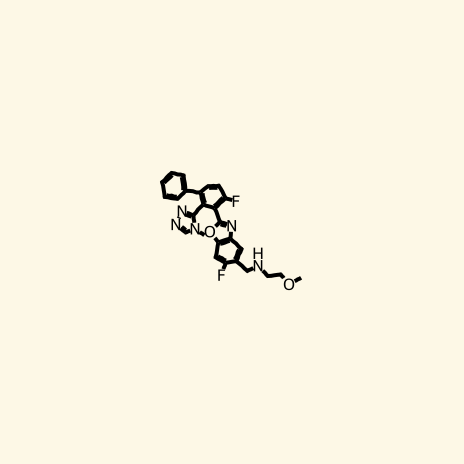 COCCNCc1cc2nc(-c3c(F)ccc(-c4ccccc4)c3-c3nncn3C)oc2cc1F